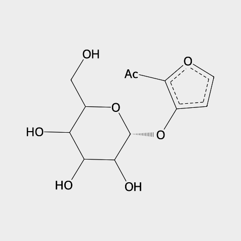 CC(=O)c1occc1O[C@H]1OC(CO)C(O)C(O)C1O